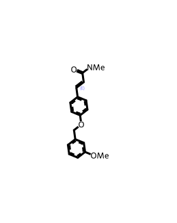 CNC(=O)/C=C/c1ccc(OCc2cccc(OC)c2)cc1